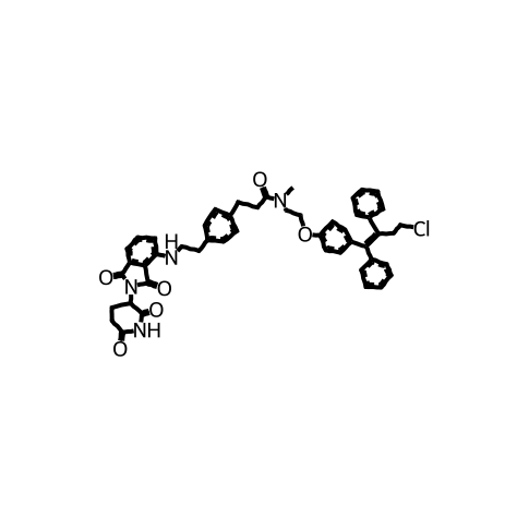 CN(CCOc1ccc(C(=C(CCCl)c2ccccc2)c2ccccc2)cc1)C(=O)CCc1ccc(CCNc2cccc3c2C(=O)N(C2CCC(=O)NC2=O)C3=O)cc1